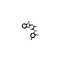 Cc1ccc(NC(=O)C(C)Sc2nc3ccccc3n2C)c(Cl)c1